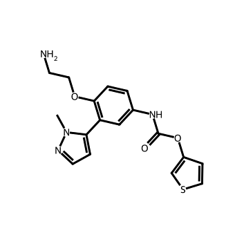 Cn1nccc1-c1cc(NC(=O)Oc2ccsc2)ccc1OCCN